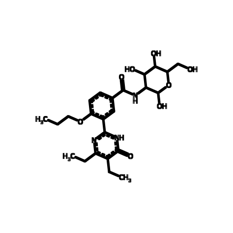 CCCOc1ccc(C(=O)NC2C(O)OC(CO)C(O)C2O)cc1-c1nc(CC)c(CC)c(=O)[nH]1